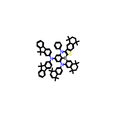 CC1(C)C=CC(C)(C)c2cc(N3c4cc5c(cc4B4c6sc7cc8c(cc7c6N(c6ccccc6)c6cc(N(c7ccc9c(c7)C(C)(C)c7ccccc7-9)c7ccc9c(c7)C(C)(C)c7ccccc7-9)cc3c64)C(C)(C)CCC8(C)C)C(C)(C)CCC5(C)C)ccc21